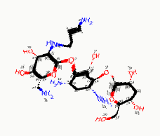 NCCCN[C@H]1[C@@H](OC2[C@@H](N)C[C@@H](N)[C@H](O[C@H]3O[C@H](CO)[C@@H](O)C[C@H]3O)[C@H]2O)O[C@H](CN)[C@@H](O)[C@@H]1O